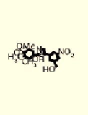 COC(=O)[C@H]1CC[C@](O)(c2ncc(-c3cc(CO)cc([N+](=O)[O-])c3)s2)CC1(C)C